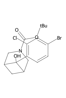 CC(C)(C)OC(=O)N1CC2CC(C1)C2(O)c1ccc(Br)cc1Cl